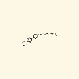 CCCCCCCCc1ccc(-c2cnc(C3CCCCC3)nc2)cc1